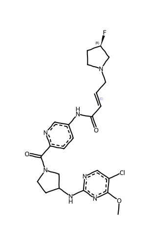 COc1nc(NC2CCN(C(=O)c3ccc(NC(=O)/C=C/CN4CC[C@@H](F)C4)cn3)C2)ncc1Cl